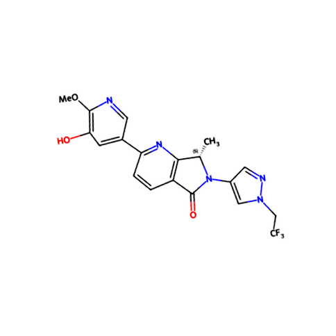 COc1ncc(-c2ccc3c(n2)[C@H](C)N(c2cnn(CC(F)(F)F)c2)C3=O)cc1O